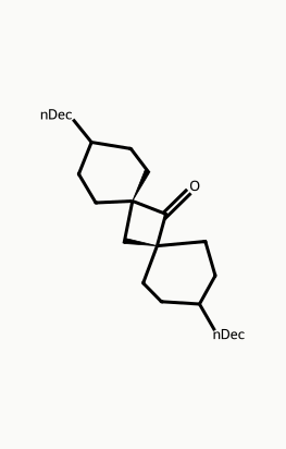 CCCCCCCCCCC1CC[C@]2(CC1)C[C@@]1(CCC(CCCCCCCCCC)CC1)C2=O